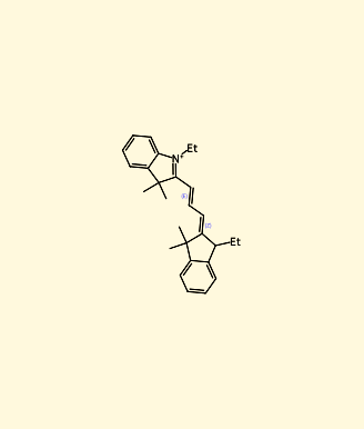 CCC1/C(=C/C=C/C2=[N+](CC)c3ccccc3C2(C)C)C(C)(C)c2ccccc21